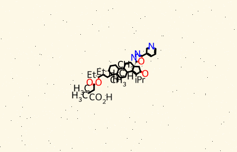 CC[C@H](CC[C@@]1(C)[C@H](CC)CC[C@]2(C)[C@@H]1CC[C@@H]1C3=C(C(C)C)C(=O)C[C@]3(c3nnc(-c4cccnc4)o3)CC[C@]12C)OC(=O)CC(C)(C)C(=O)O